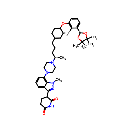 Cc1c(OC2CCC(CCC[C@H](C)N3CCN(c4cccc5c(C6CCC(=O)NC6=O)nn(C)c45)CC3)CC2)cccc1B1OC(C)(C)C(C)(C)O1